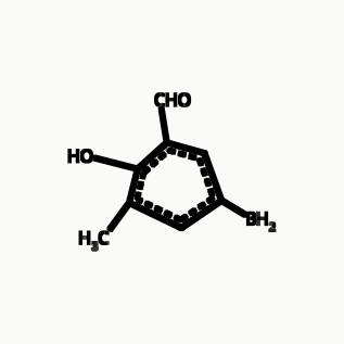 Bc1cc(C)c(O)c(C=O)c1